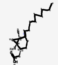 CCCCCCCC/C=C1\CC[C@H](CC(=O)O)[C@H]2O[C@@H]12